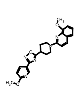 COc1ccc(-c2noc(C3CCN(c4ccc5cccc(OC)c5n4)CC3)n2)cn1